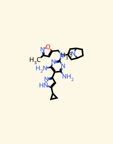 Cc1cc(CN(c2nc(N)c(-c3cc(C4CC4)[nH]n3)c(N)n2)C2CC3CCC(C2)N3C)on1